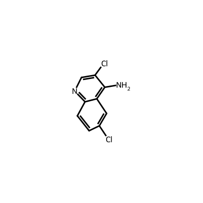 Nc1c(Cl)cnc2ccc(Cl)cc12